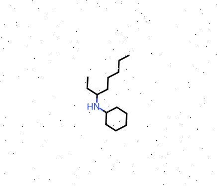 CCCCCC(CC)NC1CCCCC1